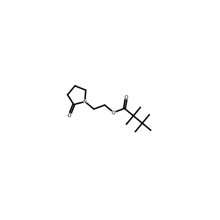 CC(C)(C)C(C)(C)C(=O)OCCN1CCCC1=O